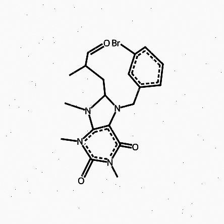 CC(C=O)CC1N(C)c2c(c(=O)n(C)c(=O)n2C)N1Cc1cccc(Br)c1